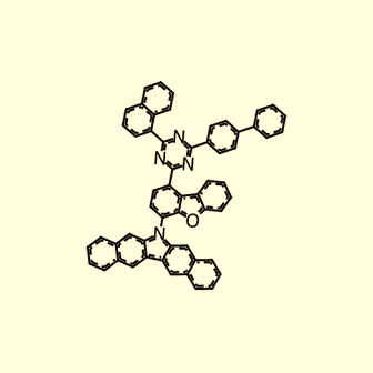 c1ccc(-c2ccc(-c3nc(-c4cccc5ccccc45)nc(-c4ccc(-n5c6cc7ccccc7cc6c6cc7ccccc7cc65)c5oc6ccccc6c45)n3)cc2)cc1